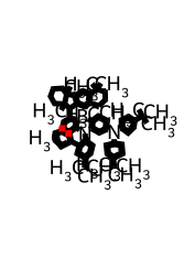 Cc1cc2c3c(c1)N(c1ccc(C(C)(C)C)cc1-c1ccccc1)c1cc(N(c4ccc(C(C)(C)C)cc4)c4ccc(C(C)(C)C)cc4)ccc1B3c1c3c(cc4c1C(C)(C)CCC4(C)C)C1(C)CCCCC1(C)C23